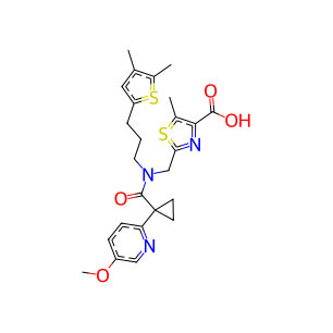 COc1ccc(C2(C(=O)N(CCCc3cc(C)c(C)s3)Cc3nc(C(=O)O)c(C)s3)CC2)nc1